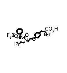 CCOC(Cc1ccc(OCCN(CCC(C)C)C(=O)Nc2ccccc2OC(F)(F)F)cc1)C(=O)O